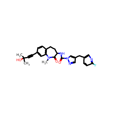 CN1C(=O)C(NC(=O)n2cc(Cc3ccc(F)nc3)cn2)CCc2ccc(C#CC(C)(C)O)cc21